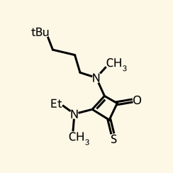 CCN(C)c1c(N(C)CCCC(C)(C)C)c(=O)c1=S